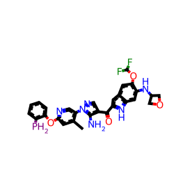 Cc1cc(Oc2ccccc2P)ncc1-n1ncc(C(=O)c2cc3cc(OC(F)F)c(NC4COC4)cc3[nH]2)c1N